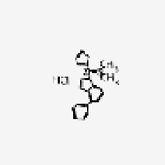 C[Si](C)=[Zr]([C]1=CC=CC1)[CH]1C=Cc2c(-c3ccccc3)cccc21.Cl